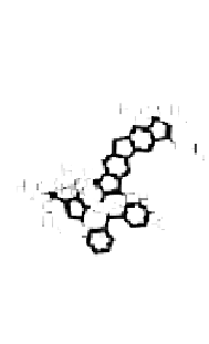 CC1=CC(C)(C)c2cc3c(cc21)-c1cc2c(cc1C3)C(C)(C)[C]([Zr+2]([C]1=C(C)C(C(C)(C)C)=CC1C)=[C](c1ccccc1)c1ccccc1)=C2C.[Cl-].[Cl-]